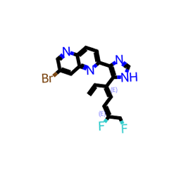 C=C/C(=C\C=C(\F)CF)c1[nH]cnc1-c1ccc2ncc(Br)cc2n1